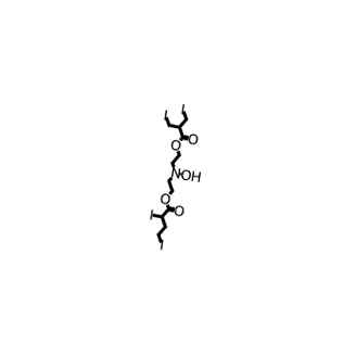 O=C(OCCN(O)CCOC(=O)C(CI)CI)C(I)CCI